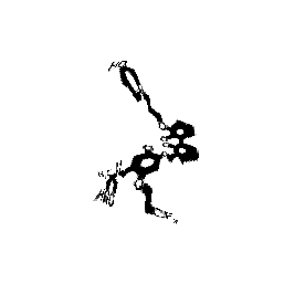 CC(CO)(CO)NCc1cc(Cl)c(OCc2cccc(-c3cccc(OCCCN4CCC(O)C4)c3Cl)c2Cl)cc1OCCC(F)(F)F